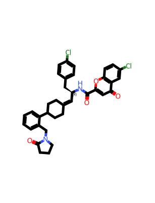 O=C(N[C@@H](C=C1CCC(c2ccccc2CN2CCCC2=O)CC1)Cc1ccc(Cl)cc1)c1cc(=O)c2cc(Cl)ccc2o1